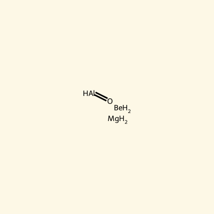 [BeH2].[MgH2].[O]=[AlH]